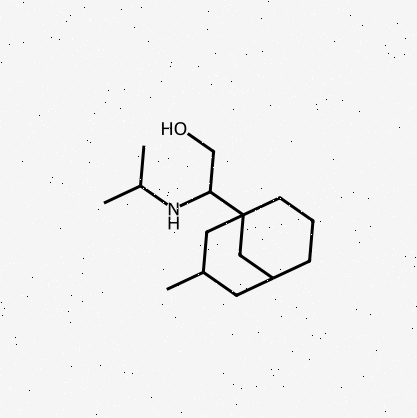 CC1CC2CCCC(C(CO)NC(C)C)(C1)C2